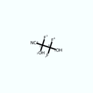 N#CC(O)(F)C(O)(F)F